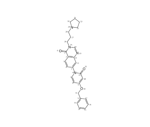 O=c1c2ccc(-n3ccc(OCc4ccccc4)cc3=O)cc2ncn1CCCN1CCCC1